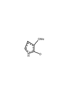 COc1cc[nH]c1[O]